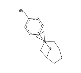 CC(C)(C)c1ccc(N2CC3CCC(C2)N3C2CC2)cc1